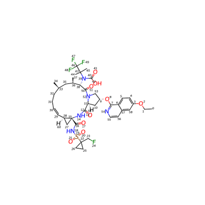 CCOc1ccc2c(O[C@@H]3C[C@H]4C(=O)N[C@]5(C(=O)NS(=O)(=O)C6(CF)CC6)C[C@H]5/C=C\CC[C@@H](C)C[C@@H](C)[C@H](N(C(=O)O)C(C)(C)C(F)(F)F)C(=O)N4C3)nccc2c1